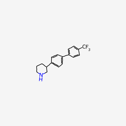 FC(F)(F)c1ccc(-c2ccc(C3CCCNC3)cc2)cc1